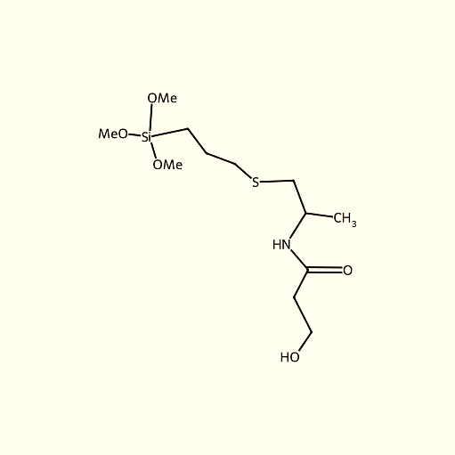 CO[Si](CCCSCC(C)NC(=O)CCO)(OC)OC